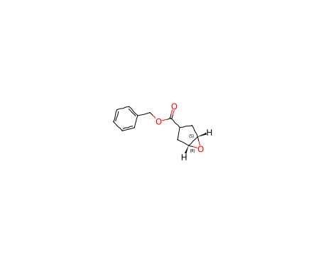 O=C(OCc1ccccc1)C1C[C@@H]2O[C@@H]2C1